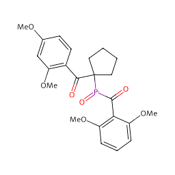 COc1ccc(C(=O)C2([P](=O)C(=O)c3c(OC)cccc3OC)CCCC2)c(OC)c1